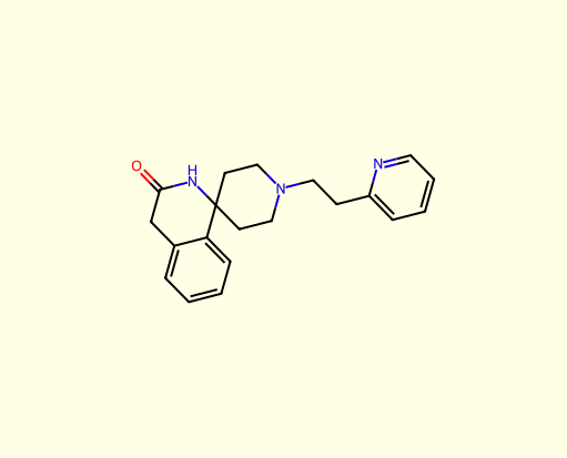 O=C1Cc2ccccc2C2(CCN(CCc3ccccn3)CC2)N1